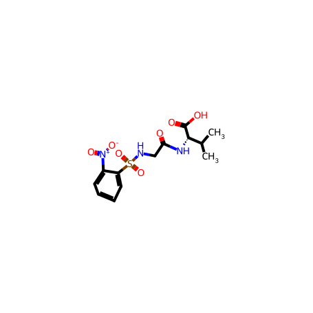 CC(C)[C@H](NC(=O)CNS(=O)(=O)c1ccccc1[N+](=O)[O-])C(=O)O